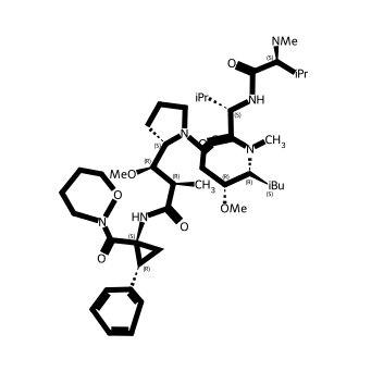 CC[C@H](C)[C@H]([C@@H](CC(=O)N1CCC[C@H]1[C@H](OC)[C@@H](C)C(=O)N[C@@]1(C(=O)N2CCCCO2)C[C@@H]1c1ccccc1)OC)N(C)C(=O)[C@@H](NC(=O)[C@@H](NC)C(C)C)C(C)C